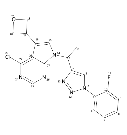 CC(c1cn(-c2ccccc2F)nn1)n1cc(C2COC2)c2c(Cl)ncnc21